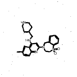 Cc1ccc2nc(N3CCS(=O)(=O)c4ccccc4C3)cc(NCC3CCNCC3)c2c1